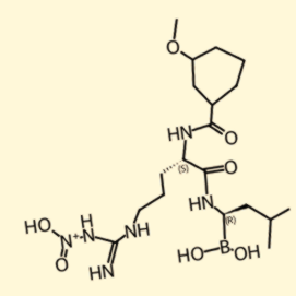 COC1CCCC(C(=O)N[C@@H](CCCNC(=N)N[N+](=O)O)C(=O)N[C@@H](CC(C)C)B(O)O)C1